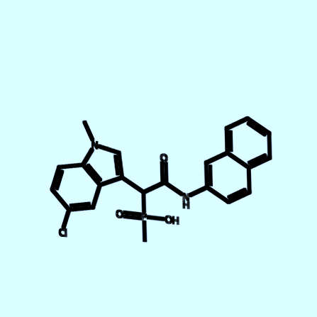 Cn1cc(C(C(=O)Nc2ccc3ccccc3c2)P(C)(=O)O)c2cc(Cl)ccc21